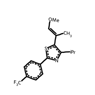 COC=C(C)c1sc(-c2ccc(C(F)(F)F)cc2)nc1C(C)C